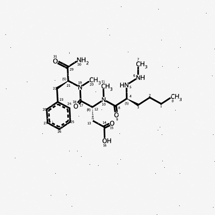 CCCC[C@H](NNC)C(=O)N(C)[C@H](CC(=O)O)C(=O)N(C)[C@@H](Cc1ccccc1)C(N)=O